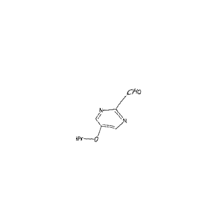 CC(C)Oc1cnc(C=O)nc1